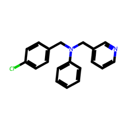 Clc1ccc(CN(Cc2cccnc2)c2ccccc2)cc1